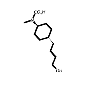 CN(C(=O)O)[C@H]1CC[C@H](CCCCO)CC1